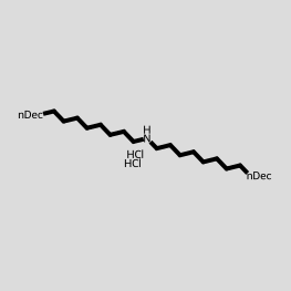 CCCCCCCCCCCCCCCCCCNCCCCCCCCCCCCCCCCCC.Cl.Cl